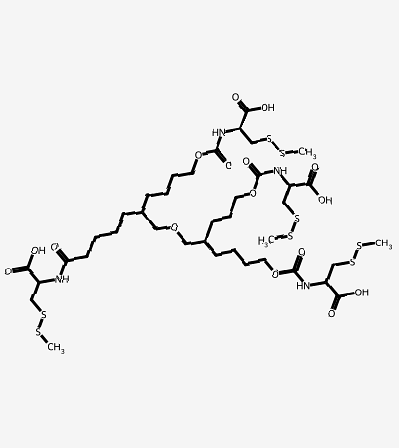 CSSCC(NC(=O)CCCCC(CCCCOC(=O)NC(CSSC)C(=O)O)COCC(CCCCOC(=O)NC(CSSC)C(=O)O)CCCOC(=O)NC(CSSC)C(=O)O)C(=O)O